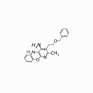 Cc1nc(Oc2ccccc2)c(N)c(N)c1CCOCc1ccccc1